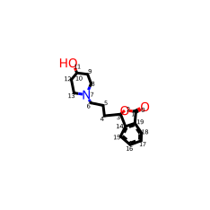 O=C1OC(CCCN2CCC(O)CC2)c2ccccc21